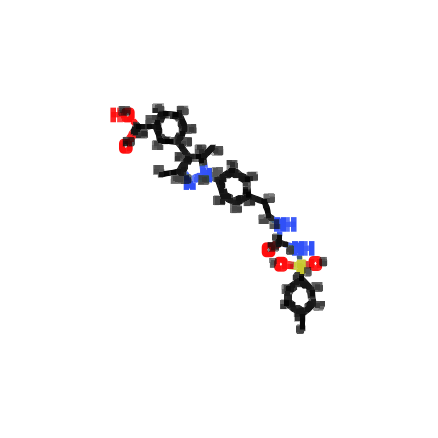 Cc1ccc(S(=O)(=O)NC(=O)NCCc2ccc(-n3nc(C)c(-c4cccc(C(=O)O)c4)c3C)cc2)cc1